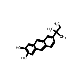 CCC(C)(C)c1ccc2cc3cc(O)c(O)cc3cc2c1